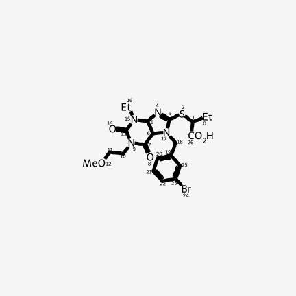 CCC(SC1=NC2C(C(=O)N(CCOC)C(=O)N2CC)N1Cc1cccc(Br)c1)C(=O)O